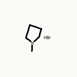 Br.CN1CCCC1